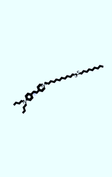 CCCCCCCCCSSCCCCCCCCCCC[n+]1ccc(/C=C/c2ccc(N(CCCC)CCCC)cc2)cc1